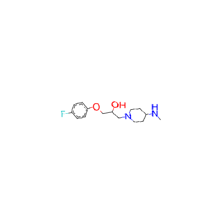 CNC1CCN(CC(O)COc2ccc(F)cc2)CC1